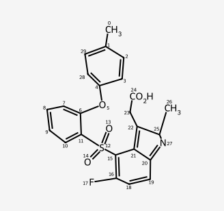 Cc1ccc(Oc2ccccc2S(=O)(=O)c2c(F)ccc3c2=C(CC(=O)O)C(C)N=3)cc1